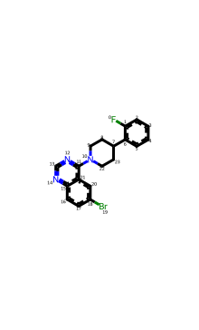 Fc1ccccc1C1CCN(c2ncnc3ccc(Br)cc23)CC1